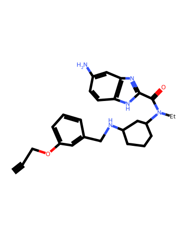 C#CCOc1cccc(CNC2CCCC(N(CC)C(=O)c3nc4cc(N)ccc4[nH]3)C2)c1